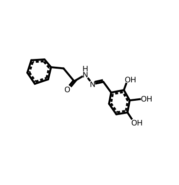 O=C(Cc1ccccc1)NN=Cc1ccc(O)c(O)c1O